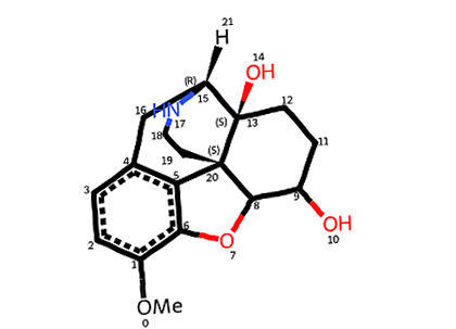 COc1ccc2c3c1OC1C(O)CC[C@@]4(O)[C@@H](C2)NCC[C@]314